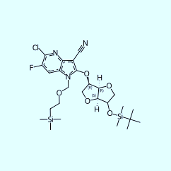 CC(C)(C)[Si](C)(C)OC1CO[C@H]2[C@@H]1OC[C@H]2Oc1c(C#N)c2nc(Cl)c(F)cc2n1COCC[Si](C)(C)C